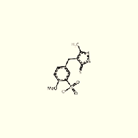 COc1ccc(Cc2c(C)ssc2=S)cc1S(=O)(=O)Cl